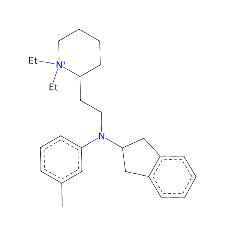 CC[N+]1(CC)CCCCC1CCN(c1cccc(C)c1)C1Cc2ccccc2C1